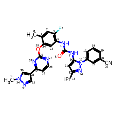 Cc1cc(F)c(NC(=O)Nc2cc(C(C)C)nn2-c2cccc(C#N)c2)cc1Oc1nccc(-c2cnn(C)c2)n1